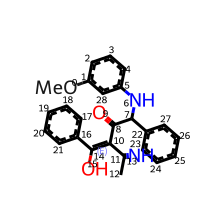 COc1cccc(NC(C(=O)/C(C(C)=N)=C(/O)c2ccccc2)c2ccccc2)c1